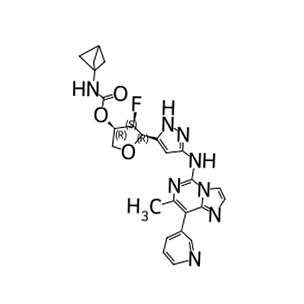 Cc1nc(Nc2cc([C@H]3OC[C@@H](OC(=O)NC45CC(C4)C5)[C@H]3F)[nH]n2)n2ccnc2c1-c1cccnc1